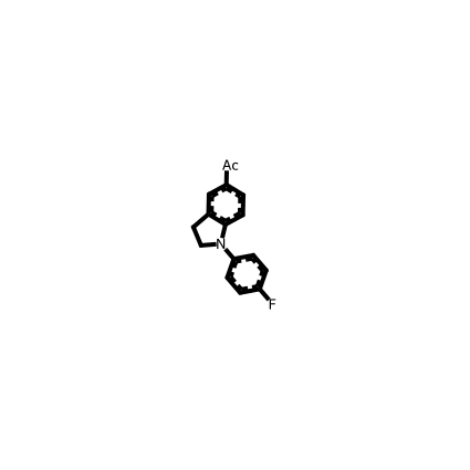 CC(=O)c1ccc2c(c1)CCN2c1ccc(F)cc1